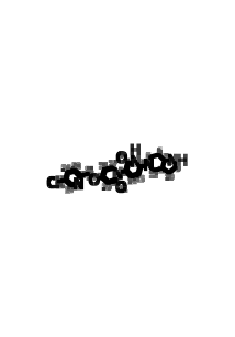 O=c1[nH]c(N2CCC3NCCC3C2)ccc1-n1ccc(OCc2ccc(Cl)cn2)cc1=O